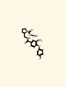 CC(C)(C)OC(=O)N1CCCC1CNC(=O)c1ccc(Sc2ccc(F)cc2)c([N+](=O)[O-])c1